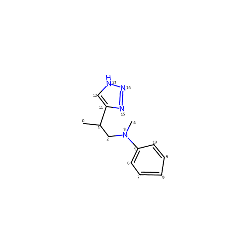 CC(CN(C)c1ccccc1)c1c[nH]nn1